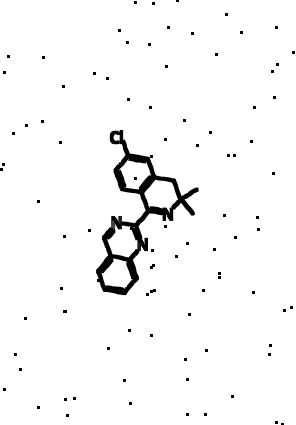 CC1(C)Cc2cc(Cl)ccc2C(c2ncc3ccccc3n2)=N1